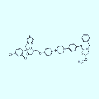 COC1CN(Cc2ccccc2)C(=Nc2ccc(N3CCN(c4ccc(OCC5COC(Cn6cncn6)(c6ccc(Cl)cc6Cl)O5)cc4)CC3)cc2)S1